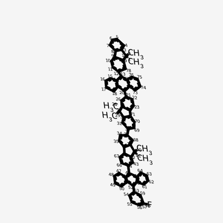 CC1(C)c2ccccc2-c2ccc(-c3c4ccccc4c(-c4ccc5c(c4)C(C)(C)c4cc(-c6ccc7c(c6)C(C)(C)c6cc(-c8c9ccccc9c(-c9cccc(F)c9)c9ccccc89)ccc6-7)ccc4-5)c4ccccc34)cc21